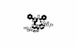 CCOC(=O)N1CCN(C(=O)C(CCC(=O)O)NC(=O)c2cc(N[C@@H](CC(=O)O)c3ccccc3)nc(-c3ccccc3)n2)CC1.O=CO